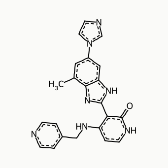 Cc1cc(-n2ccnc2)cc2[nH]c(-c3c(NCc4ccncc4)cc[nH]c3=O)nc12